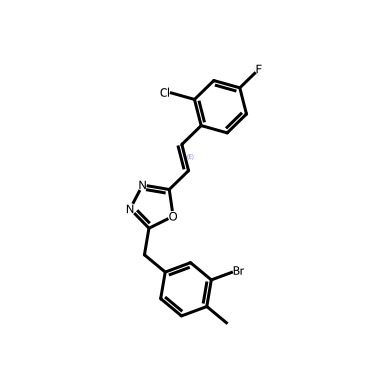 Cc1ccc(Cc2nnc(/C=C/c3ccc(F)cc3Cl)o2)cc1Br